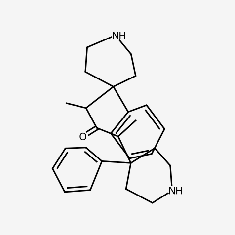 CC(C(=O)C(C)C1(c2ccccc2)CCNCC1)C1(c2ccccc2)CCNCC1